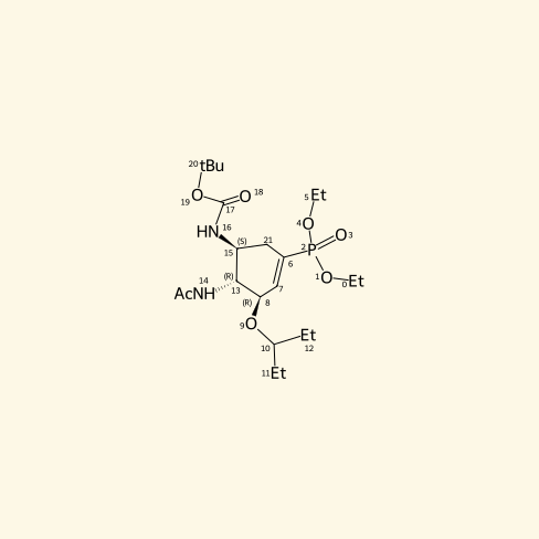 CCOP(=O)(OCC)C1=C[C@@H](OC(CC)CC)[C@H](NC(C)=O)[C@@H](NC(=O)OC(C)(C)C)C1